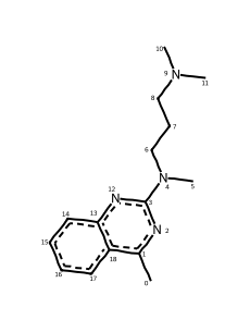 Cc1nc(N(C)CCCN(C)C)nc2ccccc12